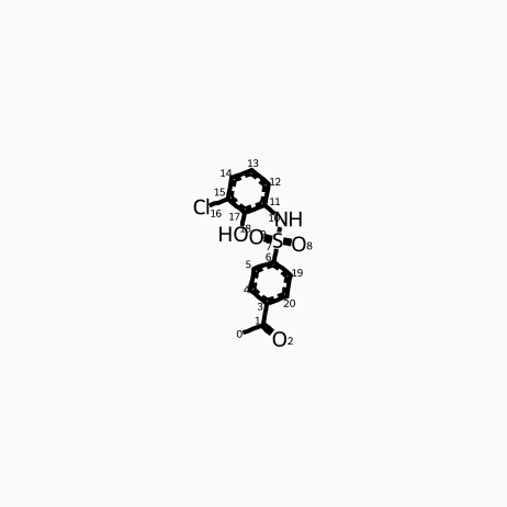 CC(=O)c1ccc(S(=O)(=O)Nc2cccc(Cl)c2O)cc1